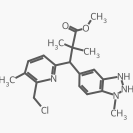 COC(=O)C(C)(C)C(c1ccc2c(c1)NNN2C)c1ccc(C)c(CCl)n1